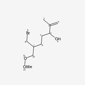 C=C(C)C(O)CCC(CBr)COOC